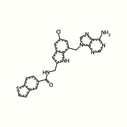 Nc1ncnc2c1ncn2Cc1cc(Cl)cc2cc(CNC(=O)c3ccc4sccc4c3)[nH]c12